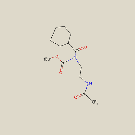 CC(C)(C)OC(=O)N(CCNC(=O)C(F)(F)F)C(=O)C1CCCCC1